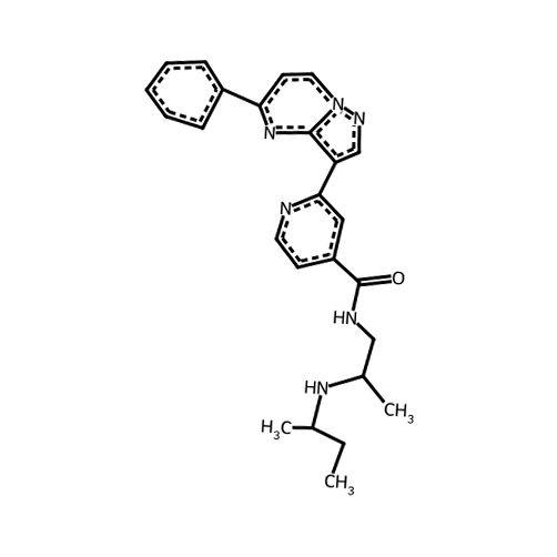 CCC(C)NC(C)CNC(=O)c1ccnc(-c2cnn3ccc(-c4ccccc4)nc23)c1